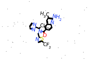 Cc1cc2cc(C(=O)N(Cc3ncc(C(F)(F)F)s3)C(C)c3ncccn3)ccc2nc1N